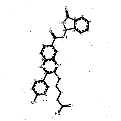 O=C(O)CCCCc1nc2cc(C(=O)NC3NC(=O)c4ccccc43)ccc2nc1-c1ccc(Cl)cc1